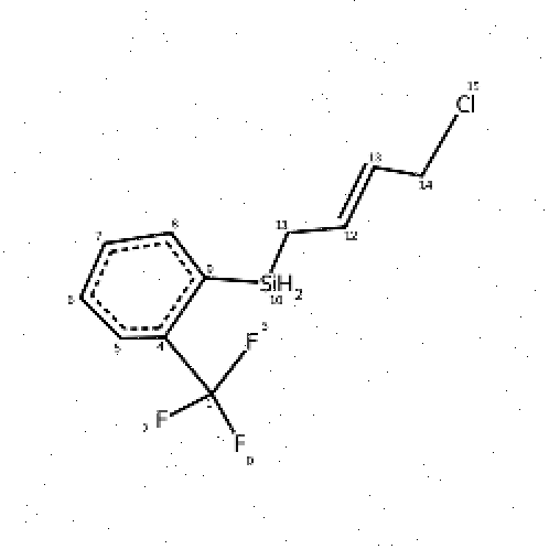 FC(F)(F)c1ccccc1[SiH2]CC=CCCl